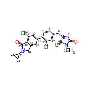 CN1C(=O)CN(Cc2ccc(-c3cc(Cl)c4c(c3)CN(C3CC3)C4=O)c(Cl)c2)C1=O